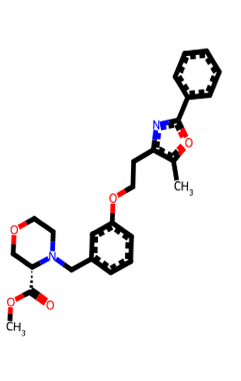 COC(=O)[C@@H]1COCCN1Cc1cccc(OCCc2nc(-c3ccccc3)oc2C)c1